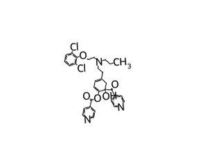 CCCN(CCOc1c(Cl)cccc1Cl)CCC1=CC=C(OC(=O)c2ccncc2)C(O)(C(=O)c2ccncc2)C1